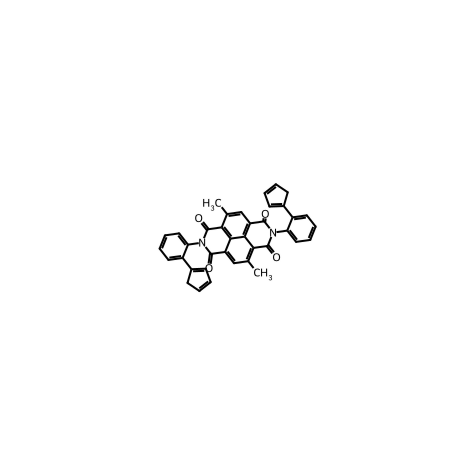 Cc1cc2c3c(c(C)cc4c3c1C(=O)N(c1ccccc1C1=CC=CC1)C4=O)C(=O)N(c1ccccc1C1=CC=CC1)C2=O